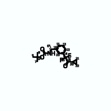 C[C@@H](NC(=O)OC(C)(C)C)c1cccc(C(F)(F)C(=O)C2CC2)c1